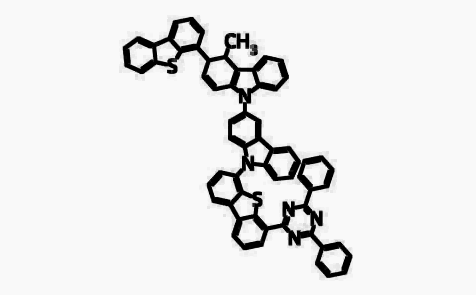 CC1c2c(n(-c3ccc4c(c3)c3ccccc3n4-c3cccc4c3sc3c(-c5nc(-c6ccccc6)nc(-c6ccccc6)n5)cccc34)c3ccccc23)C=CC1c1cccc2c1sc1ccccc12